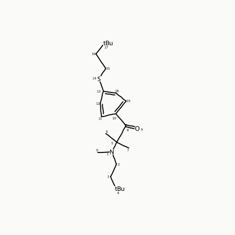 CN(CCC(C)(C)C)C(C)(C)C(=O)c1ccc(SCCC(C)(C)C)cc1